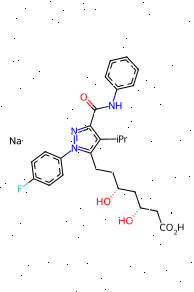 CC(C)c1c(C(=O)Nc2ccccc2)nn(-c2ccc(F)cc2)c1CC[C@@H](O)C[C@@H](O)CC(=O)O.[Na]